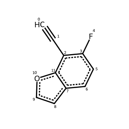 C#Cc1c(F)ccc2ccoc12